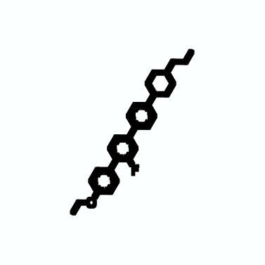 CCCC1CCC(c2ccc(-c3ccc(-c4ccc(OCC)cc4)c(F)c3)cc2)CC1